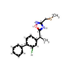 CSCc1noc(C(C)c2ccc(-c3ccccc3)c(F)c2)n1